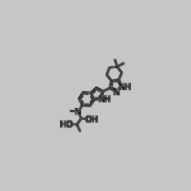 CC(O)C(O)N(C)c1ccc2cc(-c3n[nH]c4c3CCC(C)(C)C4)[nH]c2c1